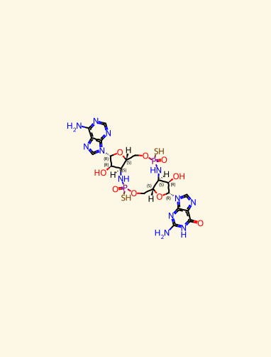 Nc1nc2c(ncn2[C@@H]2O[C@@H]3COP(=O)(S)N[C@H]4[C@@H](O)[C@H](n5cnc6c(N)ncnc65)O[C@@H]4COP(=O)(S)N[C@H]3[C@H]2O)c(=O)[nH]1